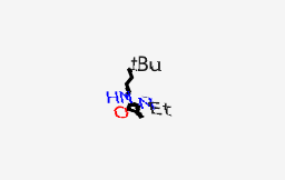 C=C1C(=O)C(NCCCCC(C)(C)C)=C1N(C)CC